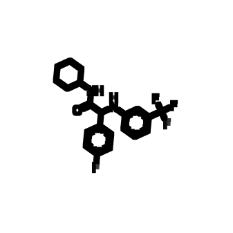 O=C(NC1CCCCC1)C(Nc1cccc(C(F)(F)F)c1)c1ccc(F)cc1